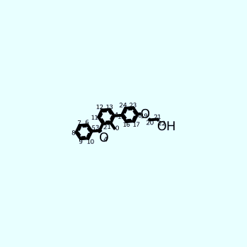 Cc1c(C(=O)c2ccccc2)cccc1-c1ccc(OCCO)cc1